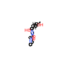 C#C[C@]1(O)CC[C@H]2[C@@H]3CCc4cc(O)c(N5CCN(C(=O)[C@@H]6CCCN6C(=O)c6ccc7ccccc7n6)CC5)cc4[C@H]3CC[C@@]21C